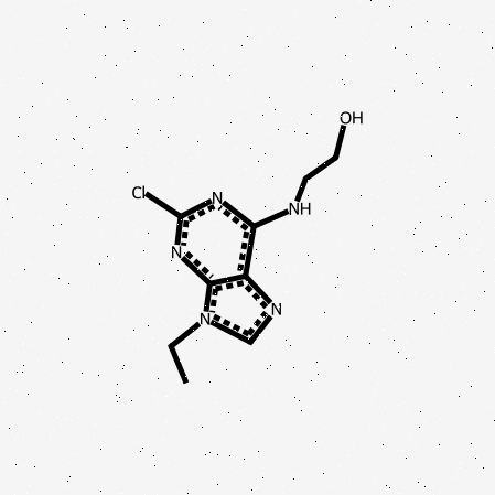 CCn1cnc2c(NCCO)nc(Cl)nc21